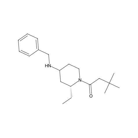 CC[C@@H]1CC(NCc2ccccc2)CCN1C(=O)CC(C)(C)C